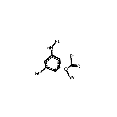 CCCOC(=O)CC.CCNc1cccc(C#N)c1